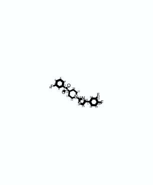 O=S(=O)(c1cccc(F)c1)C1CCN(c2nc(-c3ccc(F)c(F)c3)cs2)CC1